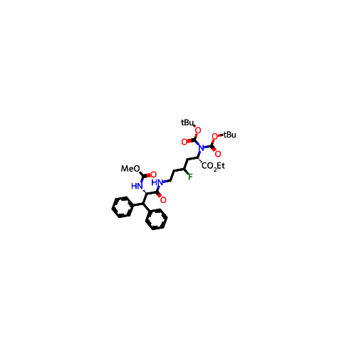 CCOC(=O)[C@H](CC(F)CCNC(=O)[C@@H](NC(=O)OC)C(c1ccccc1)c1ccccc1)N(C(=O)OC(C)(C)C)C(=O)OC(C)(C)C